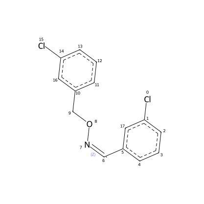 Clc1cccc(/[C]=N\OCc2cccc(Cl)c2)c1